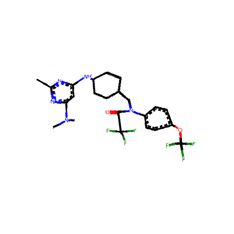 Cc1nc(NC2CCC(CN(C(=O)C(F)(F)F)c3ccc(OC(F)(F)F)cc3)CC2)cc(N(C)C)n1